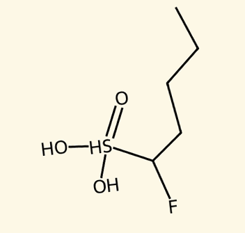 CCCCC(F)[SH](=O)(O)O